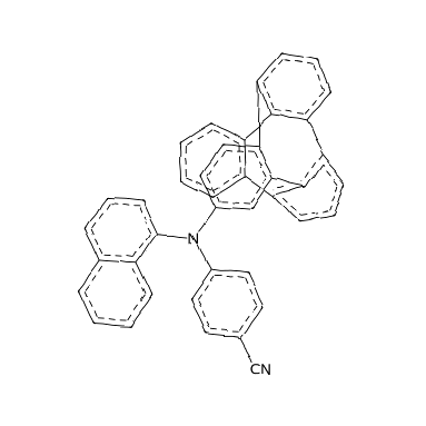 N#Cc1ccc(N(c2ccc3c(c2)-c2c4cccc2-c2cccc-3c2-c2ccccc2-4)c2cccc3ccccc23)cc1